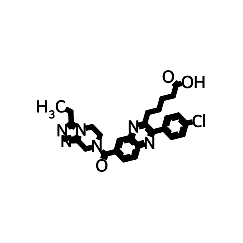 CCc1nnc2n1CCN(C(=O)c1ccc3nc(-c4ccc(Cl)cc4)c(CCCCC(=O)O)nc3c1)C2